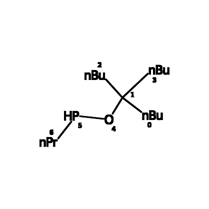 CCCCC(CCCC)(CCCC)OPCCC